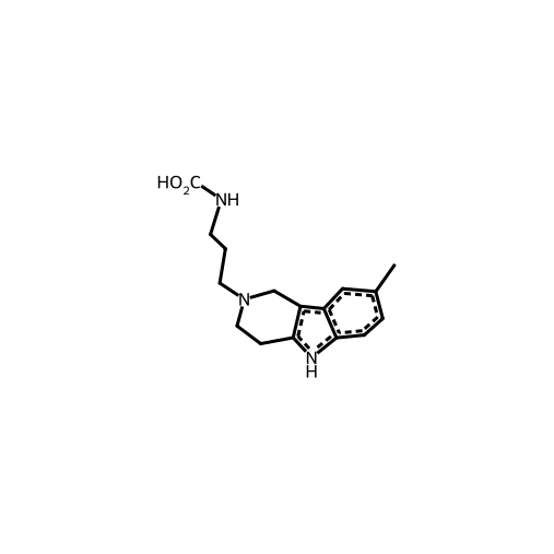 Cc1ccc2[nH]c3c(c2c1)CN(CCCNC(=O)O)CC3